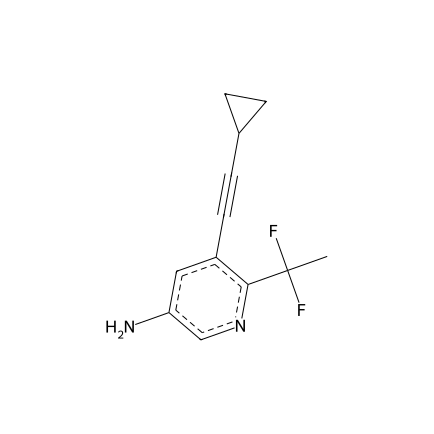 CC(F)(F)c1ncc(N)cc1C#CC1CC1